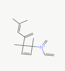 C=C[N+](=C)C1(C)C=CC1(C)C(=C)C=C(C)C